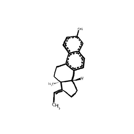 CC=C1CC[C@H]2c3ccc4cc(O)ccc4c3CC[C@]12C